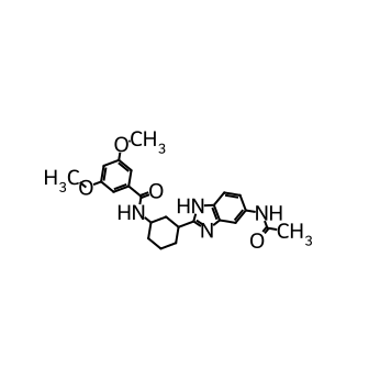 COc1cc(OC)cc(C(=O)NC2CCCC(c3nc4cc(NC(C)=O)ccc4[nH]3)C2)c1